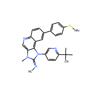 CCCCSc1ccc(-c2ccc3ncc4c(c3c2)n(-c2ccc(C(C)(C)C#N)nc2)c(=NC#N)n4C)cc1